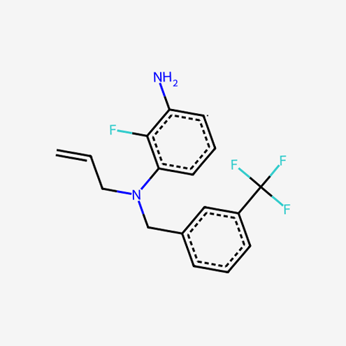 C=CCN(Cc1cccc(C(F)(F)F)c1)c1cc[c]c(N)c1F